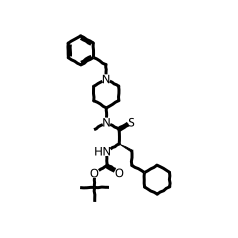 CN(C(=S)[C@@H](CCC1CCCCC1)NC(=O)OC(C)(C)C)C1CCN(Cc2ccccc2)CC1